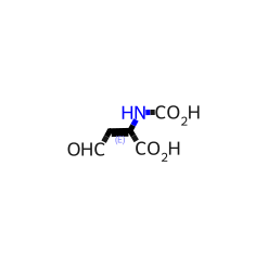 O=C/C=C(/NC(=O)O)C(=O)O